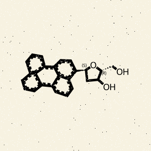 OC[C@H]1O[C@H](c2ccc3c4cccc5cccc(c6cccc2c63)c54)CC1O